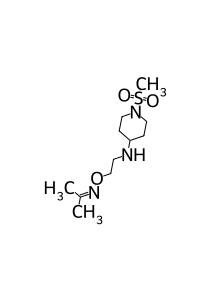 CC(C)=NOCCNC1CCN(S(C)(=O)=O)CC1